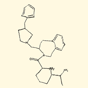 CC(N)C1CCCC(C(=O)N2Cc3ccccc3CC2CN2CCC(c3ccccc3)C2)N1